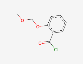 COCOc1ccccc1C(=O)Cl